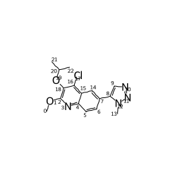 COc1nc2ccc(-c3cnnn3C)cc2c(Cl)c1OC(C)C